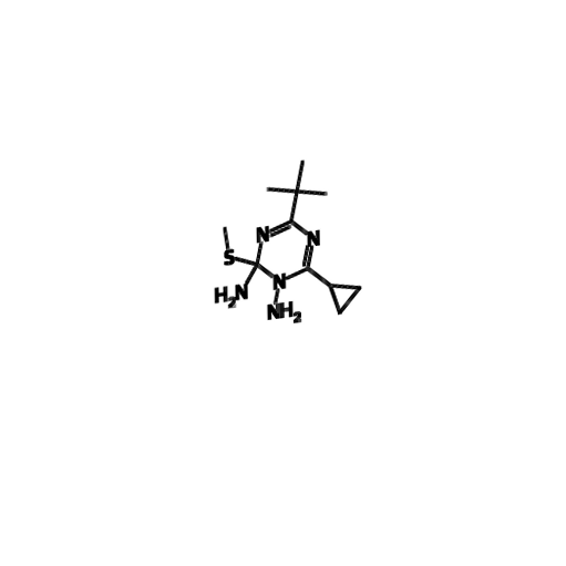 CSC1(N)N=C(C(C)(C)C)N=C(C2CC2)N1N